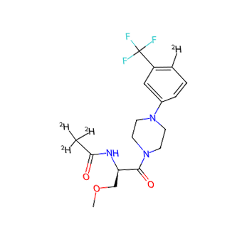 [2H]c1ccc(N2CCN(C(=O)[C@@H](COC)NC(=O)C([2H])([2H])[2H])CC2)cc1C(F)(F)F